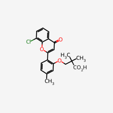 Cc1ccc(-c2cc(=O)c3cccc(Cl)c3o2)c(OCC(C)(C)C(=O)O)c1